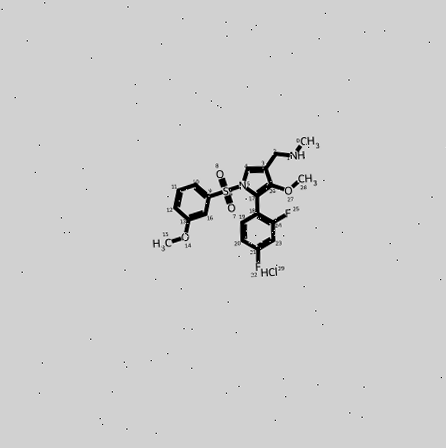 CNCc1cn(S(=O)(=O)c2cccc(OC)c2)c(-c2ccc(F)cc2F)c1OC.Cl